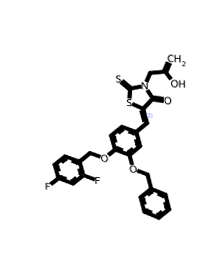 C=C(O)CN1C(=O)/C(=C/c2ccc(OCc3ccc(F)cc3F)c(OCc3ccccc3)c2)SC1=S